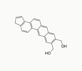 OCc1cc2cc3ccc4c5c(ccc4c3cc2cc1CO)CC=C5